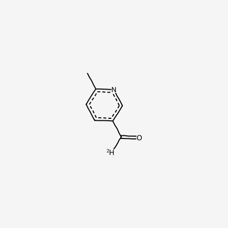 [2H]C(=O)c1ccc(C)nc1